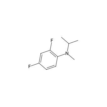 CC(C)N(C)c1ccc(F)cc1F